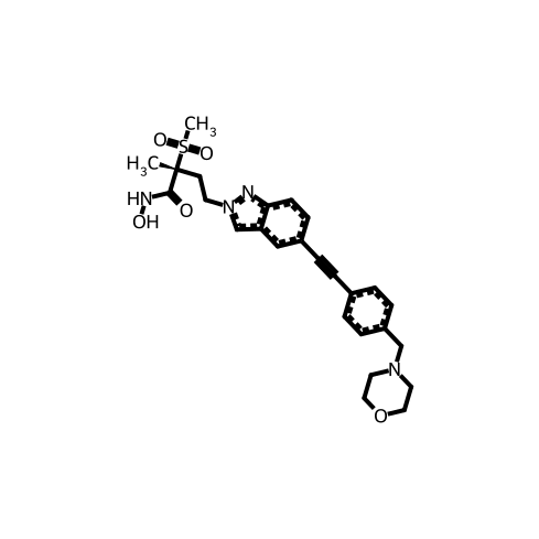 C[C@@](CCn1cc2cc(C#Cc3ccc(CN4CCOCC4)cc3)ccc2n1)(C(=O)NO)S(C)(=O)=O